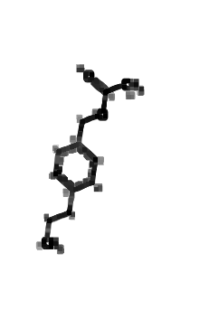 CCCc1ccc(COC(C)=O)cc1